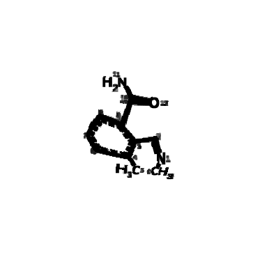 C/N=C\c1c(C)cccc1C(N)=O